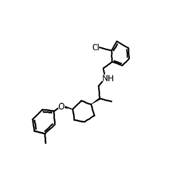 Cc1cccc(O[C@@H]2CCC[C@H](C(C)CNCc3ccccc3Cl)C2)c1